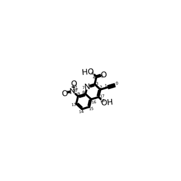 C#Cc1c(C(=O)O)nc2c([N+](=O)[O-])cccc2c1O